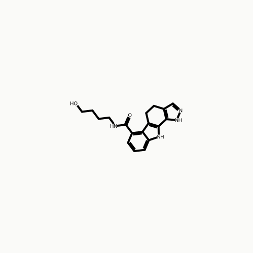 O=C(NCCCCO)c1cccc2[nH]c3c(c12)CCc1cn[nH]c1-3